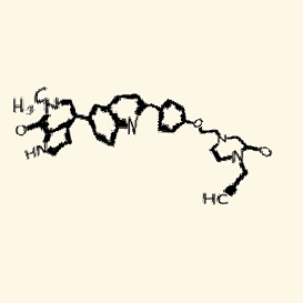 C#CCN1CCN(CCOc2ccc(-c3ccc4cc(-c5cn(C)c(=O)c6[nH]ccc56)ccc4n3)cc2)CC1=O